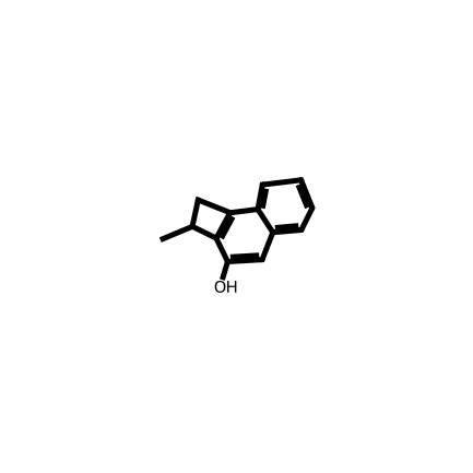 CC1Cc2c1c(O)cc1ccccc21